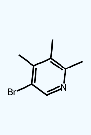 Cc1ncc(Br)c(C)c1C